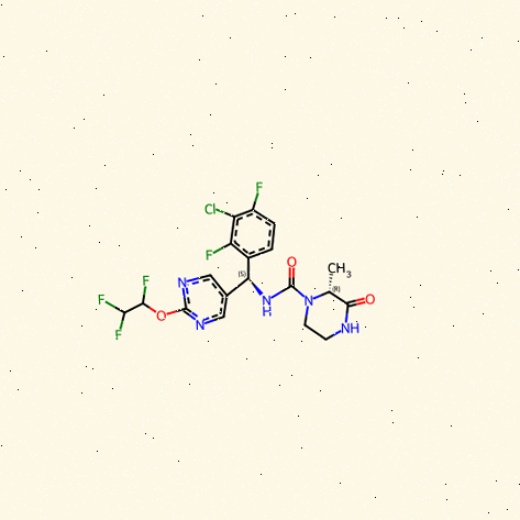 C[C@@H]1C(=O)NCCN1C(=O)N[C@@H](c1cnc(OC(F)C(F)F)nc1)c1ccc(F)c(Cl)c1F